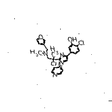 CN(Cc1ccoc1)CC(C)(C)c1nc(-c2ccc(Cl)c(O)c2)cn1-c1ccncc1